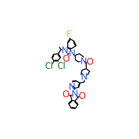 CC(c1ccc(Cl)c(Cl)c1)n1c(=O)n(C2CCN(C(=O)C3CCN(Cc4ccnc(N5C(=O)c6ccccc6C5=O)c4)CC3)CC2)c2ccc(F)cc21